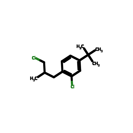 CC(CCl)Cc1ccc(C(C)(C)C)cc1Cl